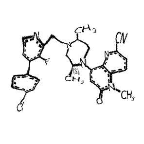 CC1CN(c2cc(=O)n(C)c3ccc(C#N)nc23)[C@@H](C)CN1Cc1nccc(-c2ccc(Cl)cc2)c1F